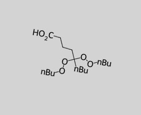 CCCCOOC(CCCC)(CCCC(=O)O)OOCCCC